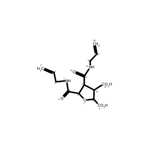 C=CCNC(=O)C1OC(C(=O)O)C(C(=O)O)C1C(=O)NCC=C